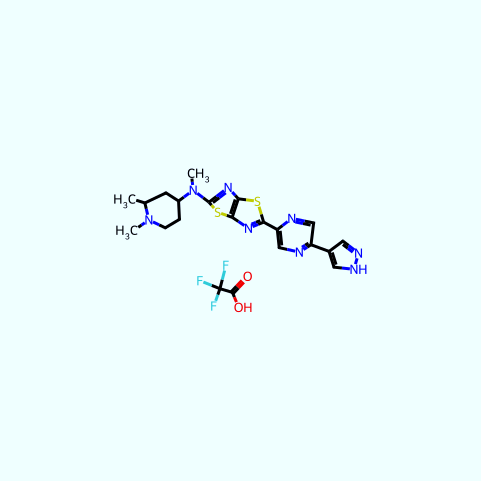 CC1CC(N(C)c2nc3sc(-c4cnc(-c5cn[nH]c5)cn4)nc3s2)CCN1C.O=C(O)C(F)(F)F